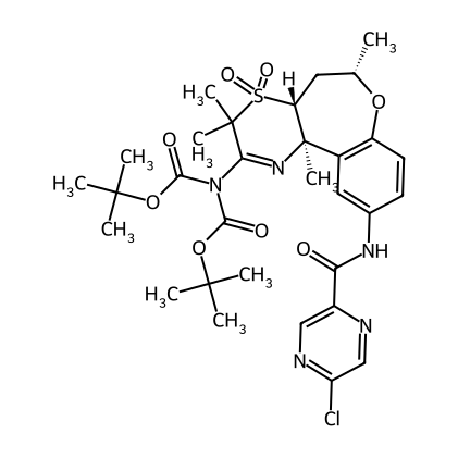 C[C@H]1C[C@@H]2[C@](C)(N=C(N(C(=O)OC(C)(C)C)C(=O)OC(C)(C)C)C(C)(C)S2(=O)=O)c2cc(NC(=O)c3cnc(Cl)cn3)ccc2O1